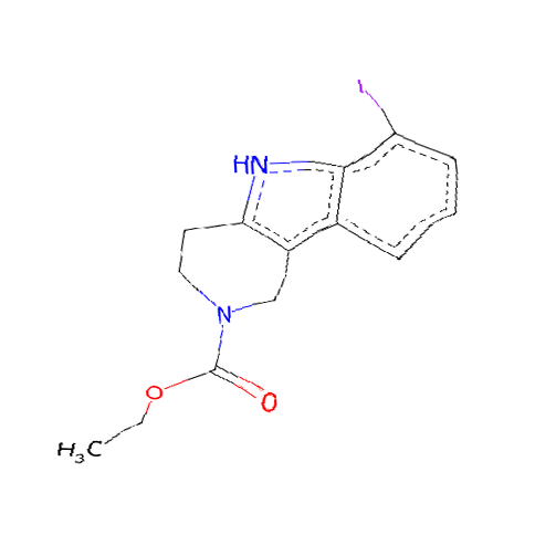 CCOC(=O)N1CCc2[nH]c3c(I)cccc3c2C1